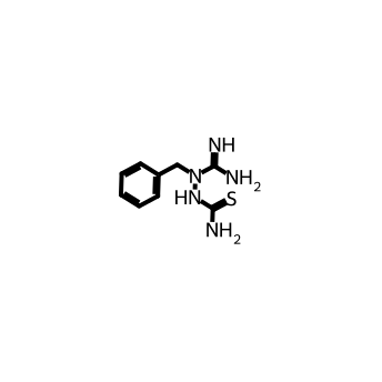 N=C(N)N(Cc1ccccc1)NC(N)=S